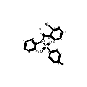 Cc1ccc(S(=O)(=O)N(C(=O)c2ccccc2Br)c2ccccc2)cc1